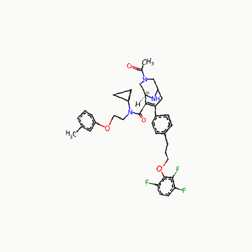 CC(=O)N1CC2CC(c3ccc(CCCOc4c(F)ccc(F)c4F)cc3)=C(C(=O)N(CCOc3cccc(C)c3)C3CC3)[C@@H](C1)N2